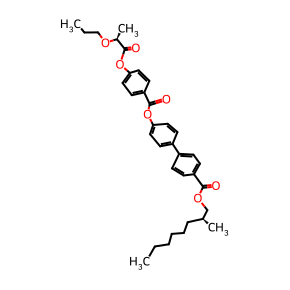 CCCCCC[C@H](C)COC(=O)c1ccc(-c2ccc(OC(=O)c3ccc(OC(=O)[C@H](C)OCCC)cc3)cc2)cc1